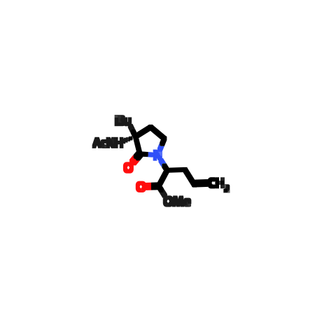 C=CCC(C(=O)OC)N1CC[C@](NC(C)=O)(C(C)CC)C1=O